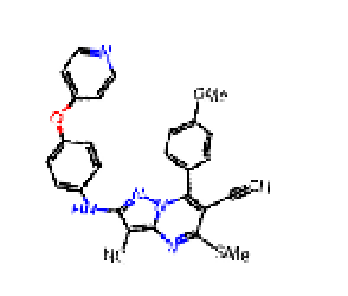 C#Cc1c(SC)nc2c(C#N)c(Nc3ccc(Oc4ccncc4)cc3)nn2c1-c1ccc(OC)cc1